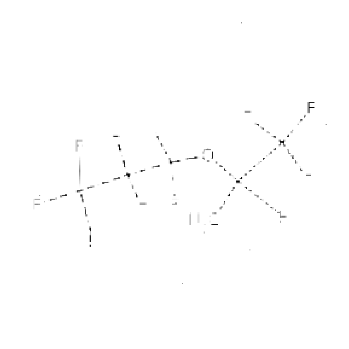 CC(F)(OC(F)(F)C(F)(F)C(F)(F)F)C(F)(F)F